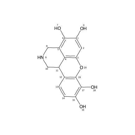 Oc1cc2c3c(c1O)CNCC3c1ccc(O)c(O)c1O2